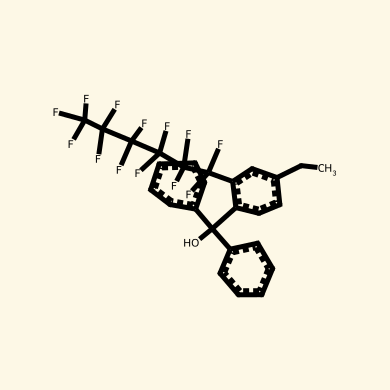 CCc1ccc(C(O)(c2ccccc2)c2ccccc2)c(C(F)(F)C(F)(F)C(F)(F)C(F)(F)C(F)(F)C(F)(F)F)c1